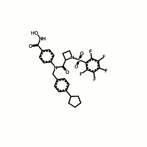 O=C(NO)c1ccc(N(Cc2ccc(C3CCCC3)cc2)C(=O)C2CCN2S(=O)(=O)c2c(F)c(F)c(F)c(F)c2F)cc1